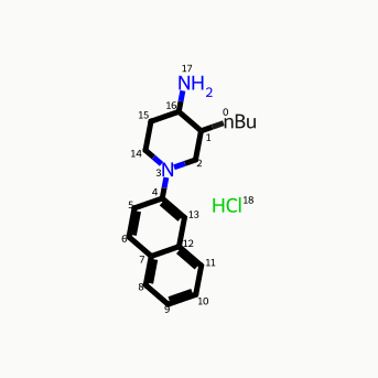 CCCCC1CN(c2ccc3ccccc3c2)CCC1N.Cl